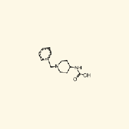 O=C(O)NC1CCN(Cc2ccccc2)CC1